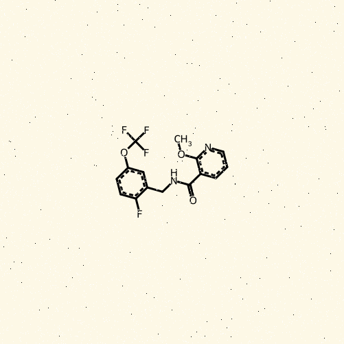 COc1ncccc1C(=O)NCc1cc(OC(F)(F)F)ccc1F